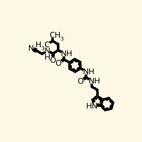 CC(C)CC(NC(=O)c1ccc(NC(=O)NCCc2c[nH]c3ccccc23)cc1)C(=O)NCC#N